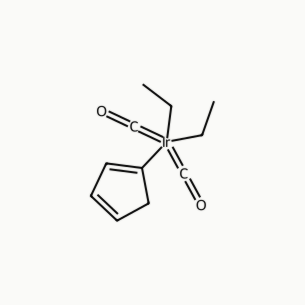 C[CH2][Ir](=[C]=O)(=[C]=O)([CH2]C)[C]1=CC=CC1